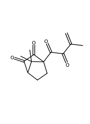 C=C(C)C(=O)C(=O)C12CCC(C(=O)C1=O)C2(C)C